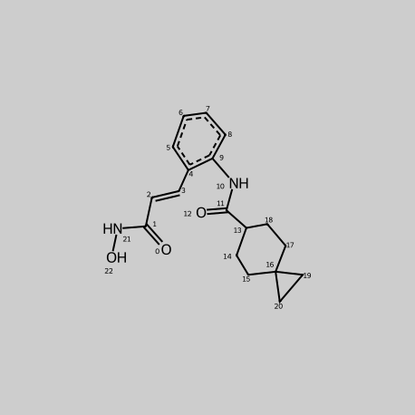 O=C(C=Cc1ccccc1NC(=O)C1CCC2(CC1)CC2)NO